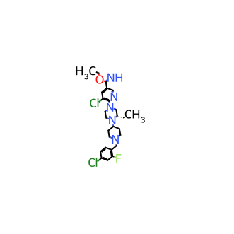 CCOC(=N)c1cnc(N2CCN(C3CCN(Cc4ccc(Cl)cc4F)CC3)[C@@H](CC)C2)c(Cl)c1